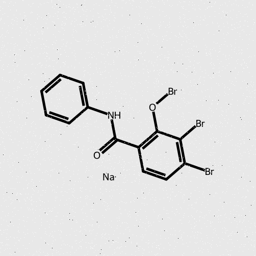 O=C(Nc1ccccc1)c1ccc(Br)c(Br)c1OBr.[Na]